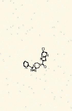 O=C(c1cc2ncc(Cl)cn2n1)N1CCn2c(nnc2-c2ccccn2)C1